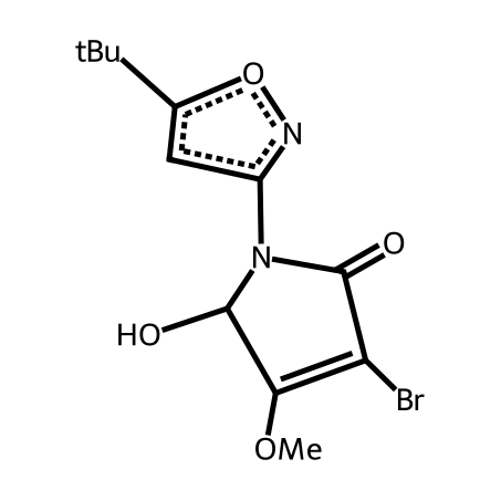 COC1=C(Br)C(=O)N(c2cc(C(C)(C)C)on2)C1O